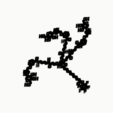 O=C(CCOCC(COCCC(=O)NCCCCNC(=O)c1cccc(OCc2cn([C@H]3CO[C@H](CO)[C@H](O)[C@@H]3O)nn2)c1)(COCCC(=O)NCCCCNC(=O)c1cccc(OCc2cn([C@H]3CO[C@H](CO)[C@H](O)[C@@H]3O)nn2)c1)NC(=O)CCCCCCCCCCC(=O)Oc1c(F)c(F)c(F)c(F)c1F)NCCCCNC(=O)c1cccc(OCc2cn([C@H]3CO[C@H](CO)[C@H](O)[C@@H]3O)nn2)c1